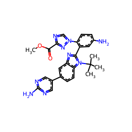 COC(=O)c1ncn(-c2ccc(N)cc2-c2nc3cc(-c4cnc(N)nc4)ccc3n2C(C)(C)C)n1